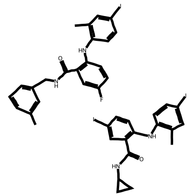 Cc1cc(I)ccc1Nc1ccc(I)cc1C(=O)NC1CC1.Cc1cccc(CNC(=O)c2cc(F)ccc2Nc2ccc(I)cc2C)c1